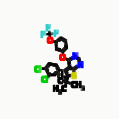 CC(C)(C)c1sc2ncnc(Oc3cccc(OC(F)(F)F)c3)c2c1-c1ccc(Cl)c(Cl)c1